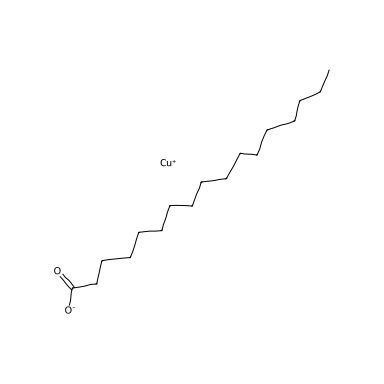 CCCCCCCCCCCCCCCCC(=O)[O-].[Cu+]